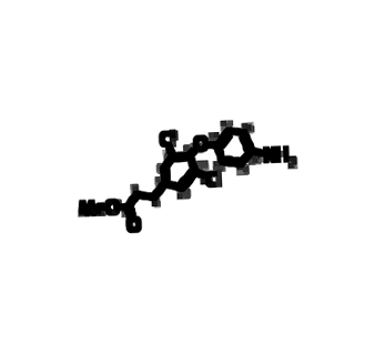 COC(=O)CCc1cc(Cl)c(Oc2ccc(N)cc2)c(Cl)c1